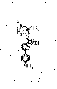 CCN(CC)CC(C)(C)COC(=O)c1ccc(-c2ccc(N)cc2)o1.Cl.Cl